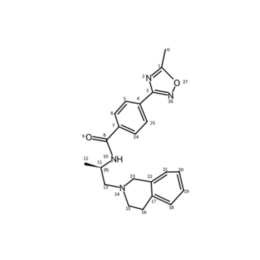 Cc1nc(-c2ccc(C(=O)N[C@H](C)CN3CCc4ccccc4C3)cc2)no1